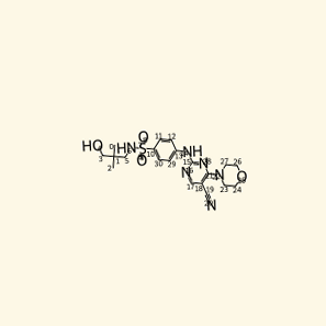 CC(C)(CO)CNS(=O)(=O)c1ccc(Nc2ncc(C#N)c(N3CCOCC3)n2)cc1